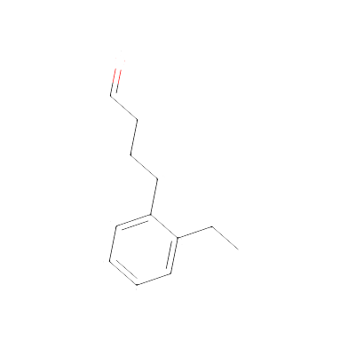 CCc1ccccc1CCCC=O